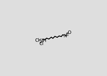 O=C=NCCCCCCCCCCC[SiH](Cl)Cl